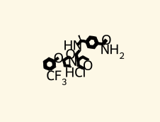 C[C@H](NCC(=O)C1(N2CC[C@@H](Oc3cccc(C(F)(F)F)c3)C2)CCOCC1)c1ccc(C(N)=O)cc1.Cl